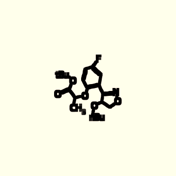 CCCCOC1CON=C1c1cc(F)ccc1OC(C)C(=O)OC(C)(C)C